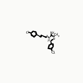 CN(N=Cc1ccc(Cl)cc1)C(=N)NN=CC=Cc1ccc(Cl)cc1